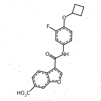 O=C(O)c1ccc2c(C(=O)Nc3ccc(OC4CCC4)c(F)c3)coc2c1